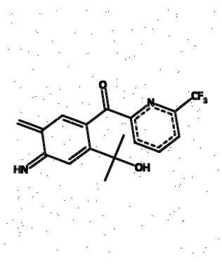 C=C1C=C(C(=O)c2cccc(C(F)(F)F)n2)C(C(C)(C)O)=CC1=N